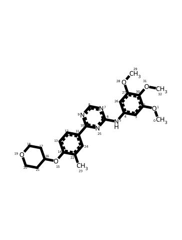 COc1cc(Nc2ncnc(-c3ccc(OC4CCOCC4)c(C)c3)n2)cc(OC)c1OC